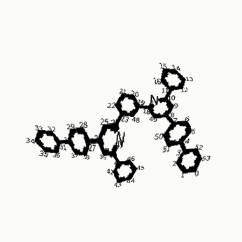 c1ccc(-c2ccc(-c3cc(-c4ccccc4)nc(-c4cccc(-c5cc(-c6ccc(-c7ccccc7)cc6)cc(-c6ccccc6)n5)c4)c3)cc2)cc1